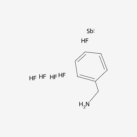 F.F.F.F.F.NCc1ccccc1.[Sb]